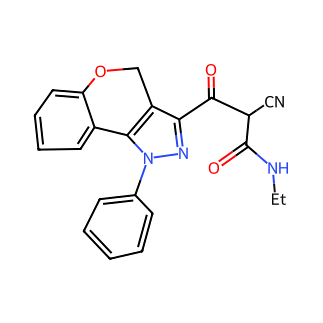 CCNC(=O)C(C#N)C(=O)c1nn(-c2ccccc2)c2c1COc1ccccc1-2